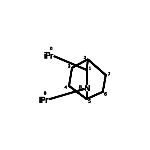 CC(C)C1C2CCC(CC2)N1C(C)C